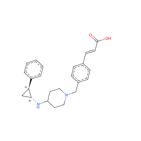 O=C(O)C=Cc1ccc(CN2CCC(N[C@@H]3C[C@H]3c3ccccc3)CC2)cc1